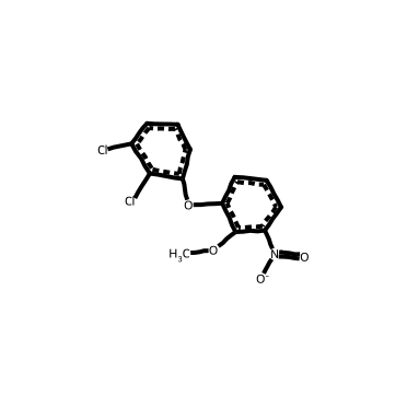 COc1c(Oc2cccc(Cl)c2Cl)cccc1[N+](=O)[O-]